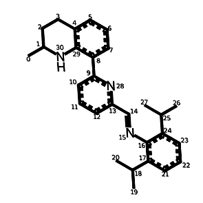 CC1CCc2cccc(-c3cccc(/C=N/c4c(C(C)C)cccc4C(C)C)n3)c2N1